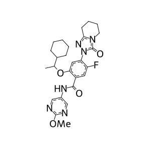 COc1ncc(NC(=O)c2cc(F)c(-n3nc4n(c3=O)CCCC4)cc2OC(C)C2CCCCC2)cn1